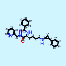 O=C(N[C@@H](CCCCNC1CC1c1ccccc1)C(=O)NCc1ccccn1)c1ccccc1